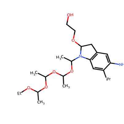 CCOC(C)OC(C)OC(C)OC(C)N1c2cc(C(C)C)c(N)cc2CC1OCCO